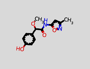 COC(C(=O)Nc1cc(C)no1)c1ccc(O)cc1